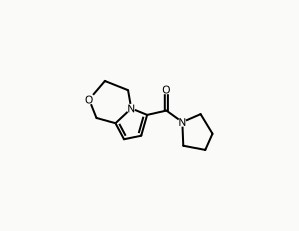 O=C(c1ccc2n1CCOC2)N1CCCC1